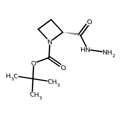 CC(C)(C)OC(=O)N1CC[C@@H]1C(=O)NN